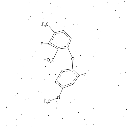 Cc1cc(OC(F)(F)F)ccc1Oc1ccc(C(F)(F)F)c(F)c1C(=O)O